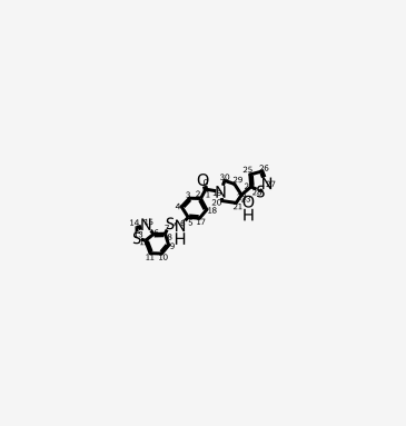 O=C(c1ccc(NSc2cccc3scnc23)cc1)N1CCC(O)(c2ccns2)CC1